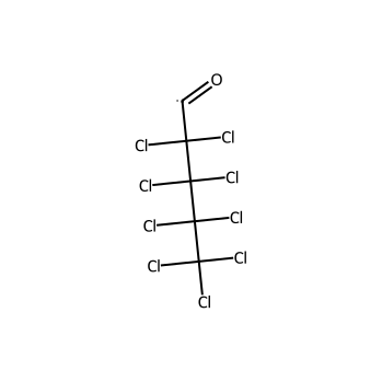 O=[C]C(Cl)(Cl)C(Cl)(Cl)C(Cl)(Cl)C(Cl)(Cl)Cl